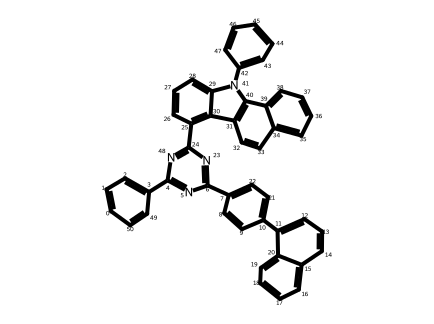 c1ccc(-c2nc(-c3ccc(-c4cccc5ccccc45)cc3)nc(-c3cccc4c3c3ccc5ccccc5c3n4-c3ccccc3)n2)cc1